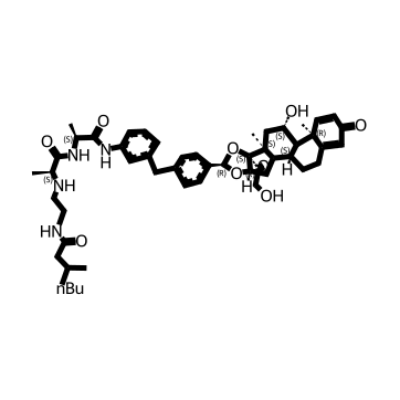 CCCCC(C)CC(=O)NCCN[C@@H](C)C(=O)N[C@@H](C)C(=O)Nc1cccc(Cc2ccc([C@@H]3O[C@@H]4CC5[C@@H]6CCC7=CC(=O)C=C[C@]7(C)C6[C@@H](O)C[C@]5(C)[C@]4(C(=O)CO)O3)cc2)c1